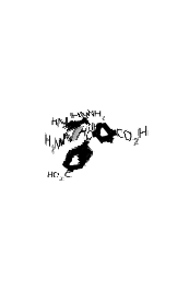 N=C(NN)C(=N)NN.O=C(O)c1ccc(Oc2ccc(C(=O)O)cc2)cc1